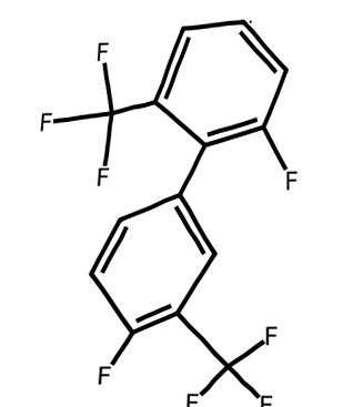 Fc1ccc(-c2c(F)c[c]cc2C(F)(F)F)cc1C(F)(F)F